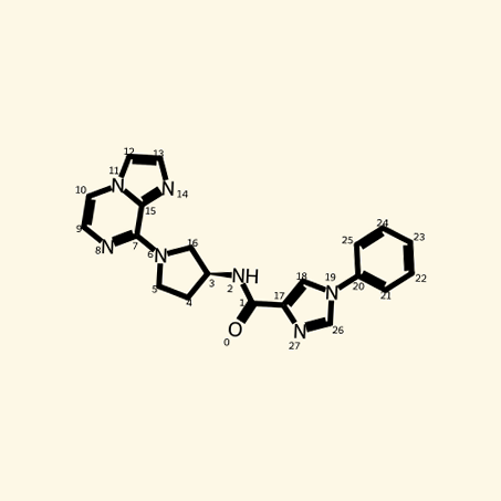 O=C(N[C@H]1CCN(c2nccn3ccnc23)C1)c1cn(-c2ccccc2)cn1